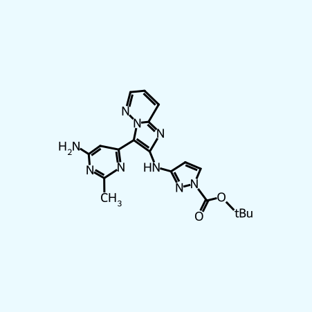 Cc1nc(N)cc(-c2c(Nc3ccn(C(=O)OC(C)(C)C)n3)nc3cccnn23)n1